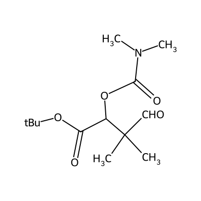 CN(C)C(=O)OC(C(=O)OC(C)(C)C)C(C)(C)C=O